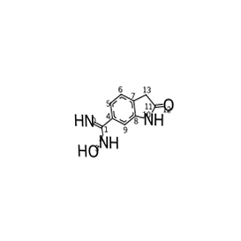 N=C(NO)c1ccc2c(c1)NC(=O)C2